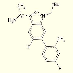 CC(C)(C)Cn1cc([C@H](N)C(F)(F)F)c2cc(F)c(-c3ccc(F)cc3C(F)(F)F)cc21